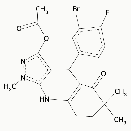 CC(=O)Oc1nn(C)c2c1C(c1ccc(F)c(Br)c1)C1=C(CCC(C)(C)C1=O)N2